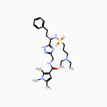 CCN(CC)CCCS(=O)(=O)N[C@H](CCc1ccccc1)c1nc(CNC(=O)c2cc(C)n(C)c2C)n[nH]1